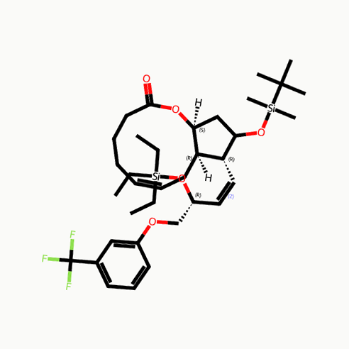 CC[Si](CC)(CC)O[C@H](/C=C\[C@H]1C(O[Si](C)(C)C(C)(C)C)C[C@@H]2OC(=O)CCCC=CC[C@@H]21)COc1cccc(C(F)(F)F)c1